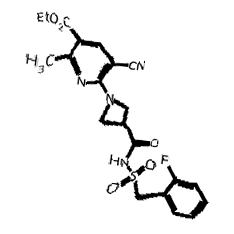 CCOC(=O)c1cc(C#N)c(N2CC(C(=O)NS(=O)(=O)Cc3ccccc3F)C2)nc1C